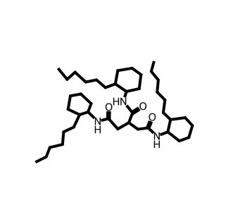 CCCCCCC1CCCCC1NC(=O)CC(CC(=O)NC1CCCCC1CCCCCC)C(=O)NC1CCCCC1CCCCCC